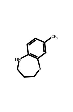 FC(F)(F)c1ccc2c(c1)SCCCN2